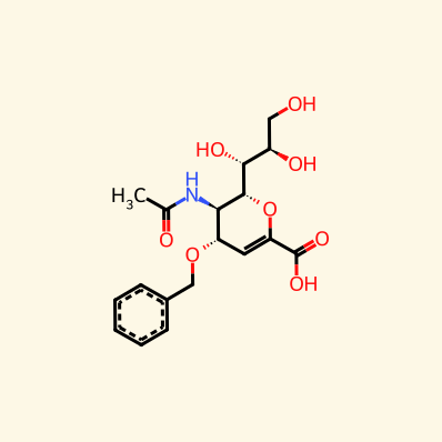 CC(=O)N[C@H]1[C@H]([C@H](O)[C@H](O)CO)OC(C(=O)O)=C[C@@H]1OCc1ccccc1